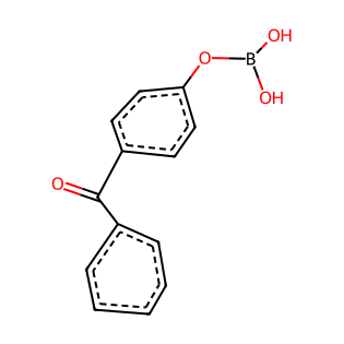 O=C(c1ccccc1)c1ccc(OB(O)O)cc1